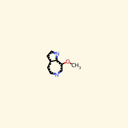 COc1cnccc2ccnc1-2